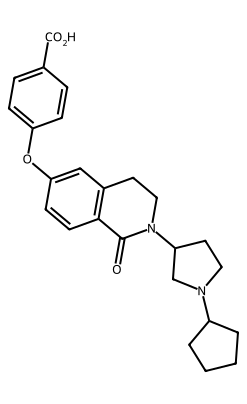 O=C(O)c1ccc(Oc2ccc3c(c2)CCN(C2CCN(C4CCCC4)C2)C3=O)cc1